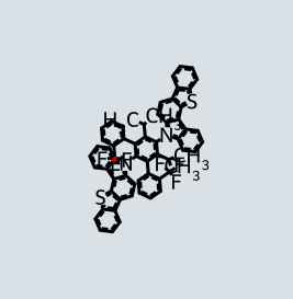 CC(C)c1c(-c2ccccc2C(F)(F)F)c(-n2c3ccccc3c3c4sc5ccccc5c4ccc32)c(-c2ccccc2C(F)(F)F)c(C(C)C)c1-n1c2ccccc2c2c3sc4ccccc4c3ccc21